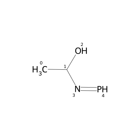 CC(O)N=P